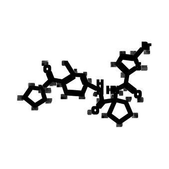 Cc1cc(NC(=O)C2(NC(=O)c3ccc(Br)s3)CCCC2)ccc1C(=O)N1CCCC1